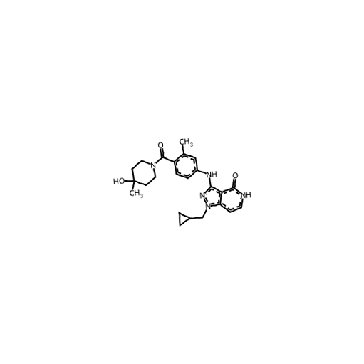 Cc1cc(Nc2nn(CC3CC3)c3cc[nH]c(=O)c23)ccc1C(=O)N1CCC(C)(O)CC1